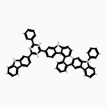 c1ccc(-c2nc(-c3ccc4c(c3)oc3ccccc34)nc(-c3ccc4c(c3)oc3cccc(-c5ccccc5-c5ccc6c(c5)c5ccccc5n6-c5ccccc5)c34)n2)cc1